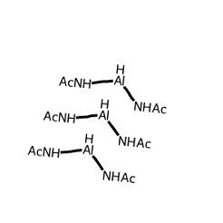 CC(=O)[NH][AlH][NH]C(C)=O.CC(=O)[NH][AlH][NH]C(C)=O.CC(=O)[NH][AlH][NH]C(C)=O